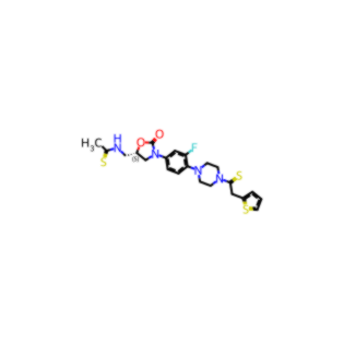 CC(=S)NC[C@H]1CN(c2ccc(N3CCN(C(=S)Cc4cccs4)CC3)c(F)c2)C(=O)O1